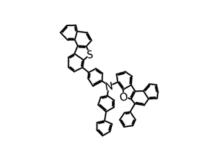 c1ccc(-c2ccc(N(c3ccc(-c4cccc5c4sc4ccc6ccccc6c45)cc3)c3cccc4c3oc3c(-c5ccccc5)cc5ccccc5c34)cc2)cc1